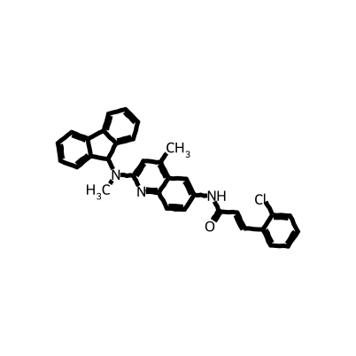 Cc1cc(N(C)C2c3ccccc3-c3ccccc32)nc2ccc(NC(=O)C=Cc3ccccc3Cl)cc12